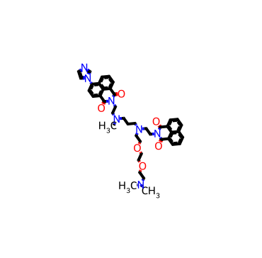 CN(C)CCOCCOCCN(CCCN(C)CCN1C(=O)c2cccc3c(-n4ccnc4)ccc(c23)C1=O)CCN1C(=O)c2cccc3cccc(c23)C1=O